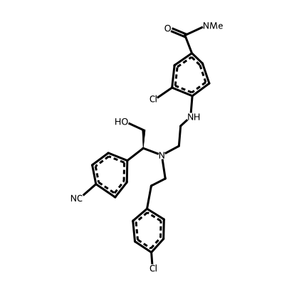 CNC(=O)c1ccc(NCCN(CCc2ccc(Cl)cc2)[C@H](CO)c2ccc(C#N)cc2)c(Cl)c1